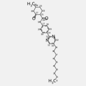 CCCCCCCCCCc1cnc(-c2ccc(CC(=O)C3CCC(C)CC3=O)cc2)nc1